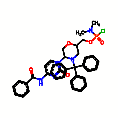 CN(C)P(=O)(Cl)OCC1CN(C(c2ccccc2)(c2ccccc2)c2ccccc2)C(n2ccc(NC(=O)c3ccccc3)nc2=O)CO1